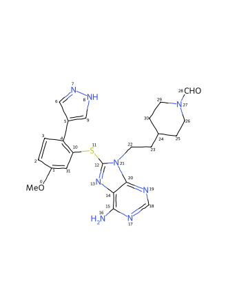 COc1ccc(-c2cn[nH]c2)c(Sc2nc3c(N)ncnc3n2CCC2CCN(C=O)CC2)c1